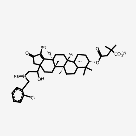 CCN(Cc1ccccc1Cl)CC(O)C12CC[C@]3(C)[C@H](CC[C@@H]4[C@@]5(C)CC[C@H](OC(=O)CC(C)(C)C(=O)O)C(C)(C)C5CC[C@]43C)C1=C(C(C)C)C(=O)C2